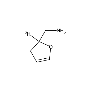 [2H]C1(CN)CC=CO1